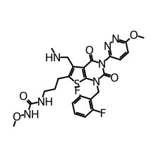 CNCc1c(CCCNC(=O)NOC)sc2c1c(=O)n(-c1ccc(OC)nn1)c(=O)n2Cc1c(F)cccc1F